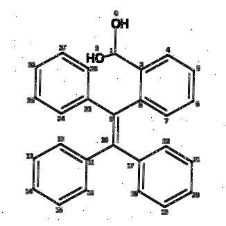 OC(O)c1ccccc1C(=C(c1ccccc1)c1ccccc1)c1ccccc1